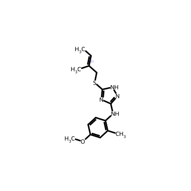 C/C=C(\C)CSc1nc(Nc2ccc(OC)cc2C)n[nH]1